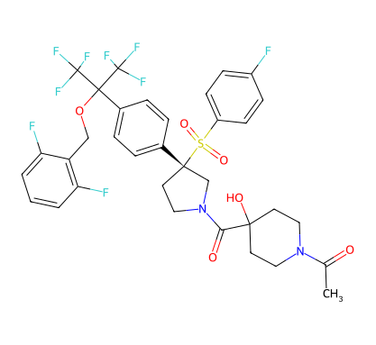 CC(=O)N1CCC(O)(C(=O)N2CC[C@](c3ccc(C(OCc4c(F)cccc4F)(C(F)(F)F)C(F)(F)F)cc3)(S(=O)(=O)c3ccc(F)cc3)C2)CC1